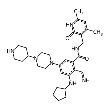 Cc1cc(C)c(CNC(=O)c2cc(N3CCN(C4CCNCC4)CC3)cc(NC3CCCC3)c2C=N)c(=O)[nH]1